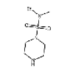 CCN(C)S(=O)(=O)N1CCNCC1